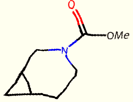 COC(=O)N1CCC2CC2C1